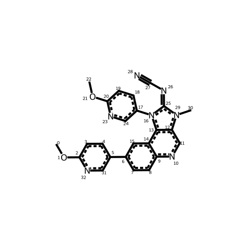 COc1ccc(-c2ccc3ncc4c(c3c2)n(-c2ccc(OC)nc2)/c(=N\C#N)n4C)cn1